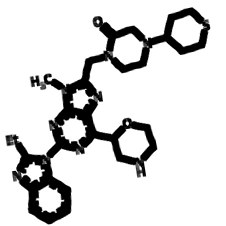 CCc1nc2ccccc2n1-c1nc(C2CNCCO2)c2nc(CN3CCN(C4CCSCC4)CC3=O)n(C)c2n1